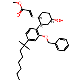 CCCCCCC(C)(C)c1ccc([C@@H]2C[C@H](O)CC[C@H]2C=CC(=O)OC)c(OCc2ccccc2)c1